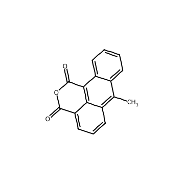 Cc1c2ccccc2c2c3c(cccc13)C(=O)OC2=O